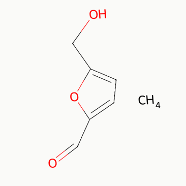 C.O=Cc1ccc(CO)o1